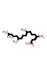 CC(=CCC(=O)O)CCCC(C)CCCC(C)CCCC(C)C